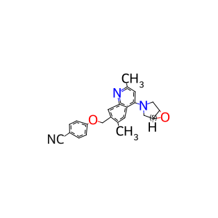 Cc1cc(N2CC3O[C@H]3C2)c2cc(C)c(COc3ccc(C#N)cc3)cc2n1